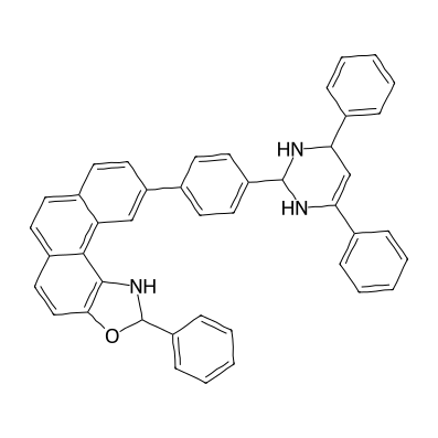 C1=C(c2ccccc2)NC(c2ccc(-c3ccc4ccc5ccc6c(c5c4c3)NC(c3ccccc3)O6)cc2)NC1c1ccccc1